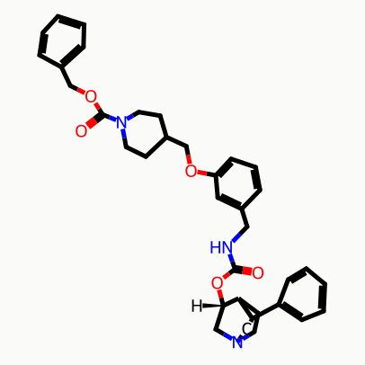 O=C(NCc1cccc(OCC2CCN(C(=O)OCc3ccccc3)CC2)c1)O[C@H]1CN2CCC1C(c1ccccc1)C2